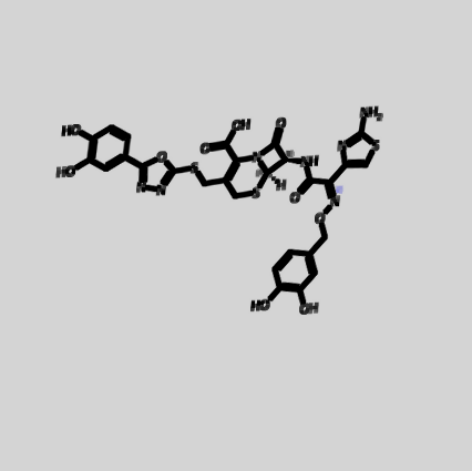 Nc1nc(/C(=N/OCc2ccc(O)c(O)c2)C(=O)N[C@@H]2C(=O)N3C(C(=O)O)=C(CSc4nnc(-c5ccc(O)c(O)c5)o4)CS[C@H]23)cs1